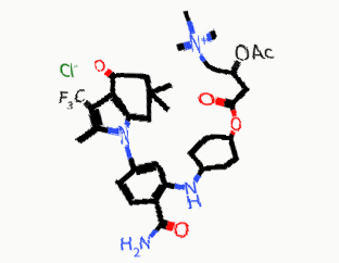 CC(=O)OC(CC(=O)OC1CCC(Nc2cc(-n3c(C)c(C(F)(F)F)c4c3CC(C)(C)CC4=O)ccc2C(N)=O)CC1)C[N+](C)(C)C.[Cl-]